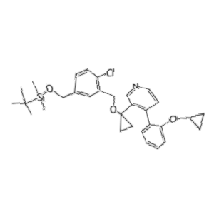 CC(C)(C)[Si](C)(C)OCc1ccc(Cl)c(COC2(c3cnccc3-c3ccccc3OC3CC3)CC2)c1